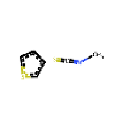 CN=C=S.c1ccsc1